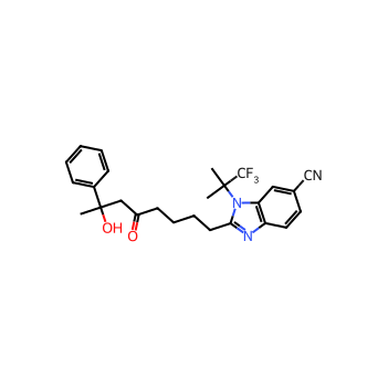 CC(O)(CC(=O)CCCCc1nc2ccc(C#N)cc2n1C(C)(C)C(F)(F)F)c1ccccc1